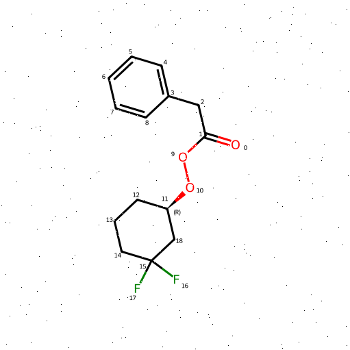 O=C(Cc1ccccc1)OO[C@@H]1CCCC(F)(F)C1